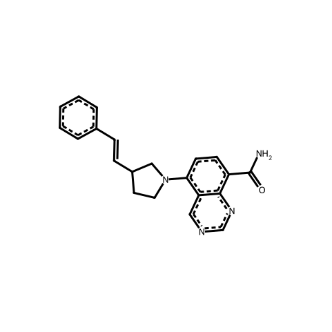 NC(=O)c1ccc(N2CCC(C=Cc3ccccc3)C2)c2cncnc12